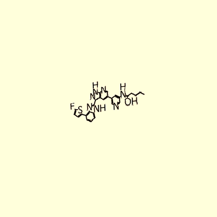 CCCCC(O)Nc1cncc(-c2cnc3[nH]nc(-c4nc5c(-c6ccc(F)s6)cccc5[nH]4)c3c2)c1